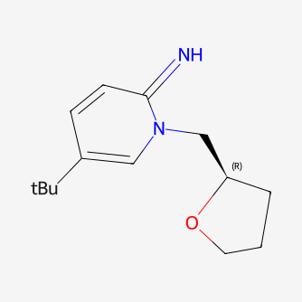 CC(C)(C)c1ccc(=N)n(C[C@H]2CCCO2)c1